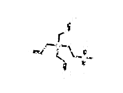 C=CC[N+](CC=C)(CC=C)CCS(=O)(=O)O